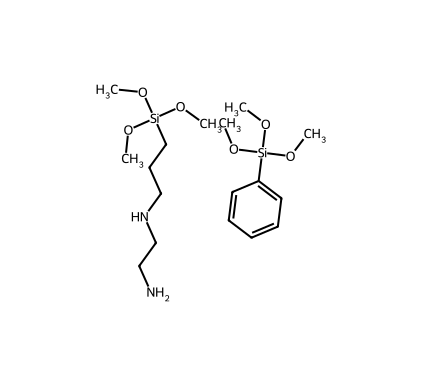 CO[Si](CCCNCCN)(OC)OC.CO[Si](OC)(OC)c1ccccc1